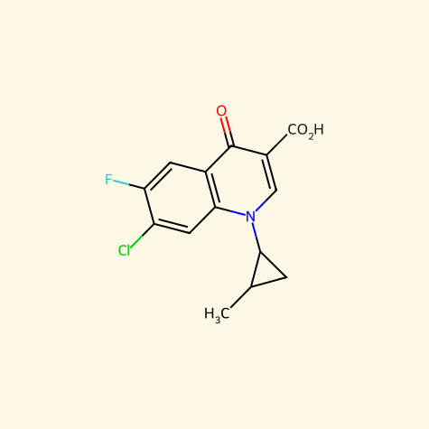 CC1CC1n1cc(C(=O)O)c(=O)c2cc(F)c(Cl)cc21